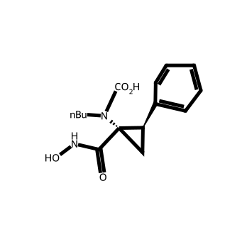 CCCCN(C(=O)O)[C@@]1(C(=O)NO)C[C@@H]1c1ccccc1